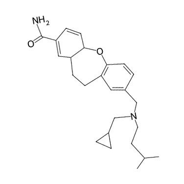 CC(C)CCN(Cc1ccc2c(c1)CCC1C=C(C(N)=O)C=CC1O2)CC1CC1